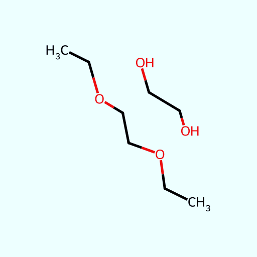 CCOCCOCC.OCCO